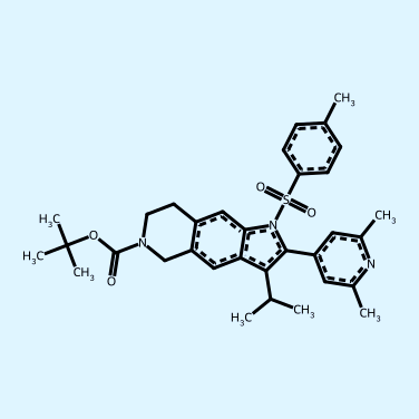 Cc1ccc(S(=O)(=O)n2c(-c3cc(C)nc(C)c3)c(C(C)C)c3cc4c(cc32)CCN(C(=O)OC(C)(C)C)C4)cc1